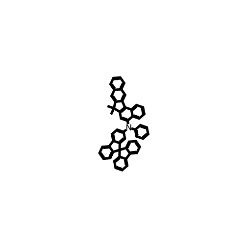 CC1(C)c2cc3ccccc3cc2-c2c1cc(N(c1ccccc1)c1ccc3c(c1)C1(c4ccccc4-c4ccccc41)c1ccccc1-3)c1ccccc21